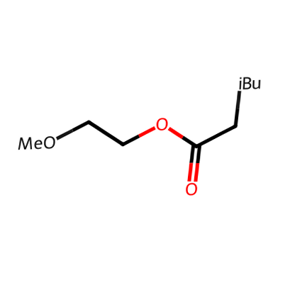 CCC(C)CC(=O)OCCOC